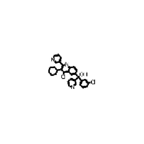 OC(c1cccnc1)(c1cccc(Cl)c1)c1ccc2nc(-c3cccnc3)c(C3CCCCC3)c(Cl)c2c1